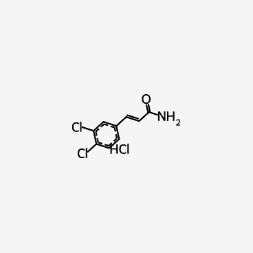 Cl.NC(=O)C=Cc1ccc(Cl)c(Cl)c1